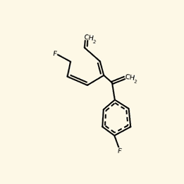 C=C/C=C(\C=C/CF)C(=C)c1ccc(F)cc1